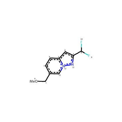 COCc1ccc2cc(C(F)F)nn2c1